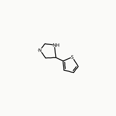 c1csc(C2C[N]CN2)c1